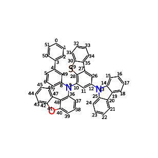 c1ccc(-c2cccc(N(c3cc(-n4c5ccccc5c5ccccc54)cc4c3sc3ccccc34)c3cccc4oc5ccccc5c34)c2)cc1